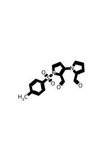 Cc1ccc(S(=O)(=O)n2ccc(-n3cccc3C=O)c2C=O)cc1